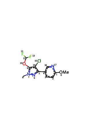 COc1ccc(-c2nn(C)c(OC(F)F)c2Cl)cn1